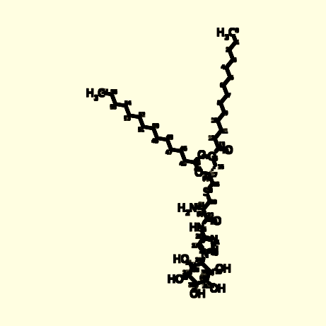 CCCCCCCCCCCCCC(=O)OC[C@H](CSC[C@@H](N)C(=O)Nc1cn(C2[C@H](O)[C@H](O)[C@@H](O)[C@H](O)[C@H]2O)nn1)OC(=O)CCCCCCCCCCCCC